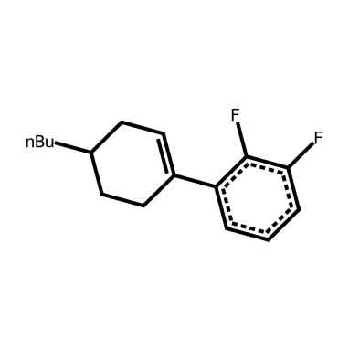 CCCCC1CC=C(c2cccc(F)c2F)CC1